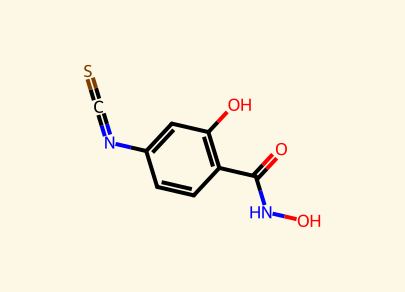 O=C(NO)c1ccc(N=C=S)cc1O